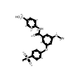 CC(C)Oc1cc(Oc2ccc(S(C)(=O)=O)cc2)cc(C(=O)Nc2ccc(C(=O)O)cn2)c1